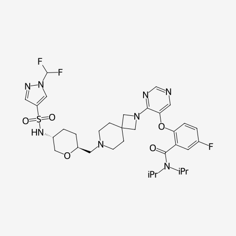 CC(C)N(C(=O)c1cc(F)ccc1Oc1cncnc1N1CC2(CCN(C[C@@H]3CC[C@@H](NS(=O)(=O)c4cnn(C(F)F)c4)CO3)CC2)C1)C(C)C